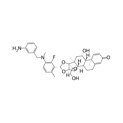 Cc1ccc(N(C)Cc2cccc(N)c2)c(F)c1[C@H]1O[C@@H]2C[C@H]3[C@@H]4CCC5=CC(=O)C=C[C@]5(C)[C@H]4[C@@H](O)C[C@]3(C)[C@]2(C(=O)CO)O1